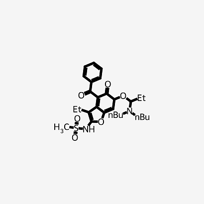 CCCCN(CCCC)C(CC)OC1C=c2oc(NS(C)(=O)=O)c(CC)c2=C(C(=O)c2ccccc2)C1=O